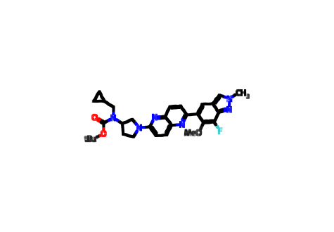 COc1c(-c2ccc3nc(N4CCC(N(CC5CC5)C(=O)OC(C)(C)C)C4)ccc3n2)cc2cn(C)nc2c1F